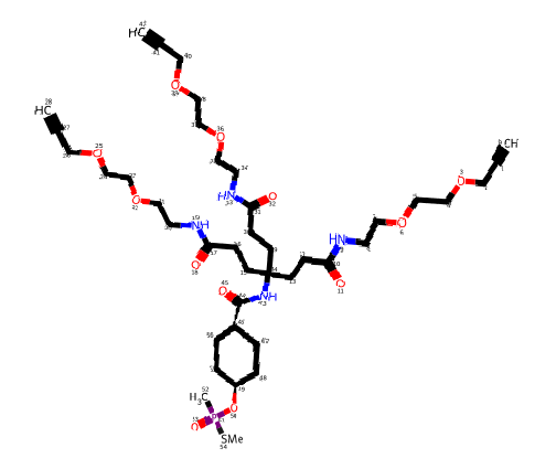 C#CCOCCOCCNC(=O)CCC(CCC(=O)NCCOCCOCC#C)(CCC(=O)NCCOCCOCC#C)NC(=O)[C@H]1CC[C@@H](OP(C)(=O)SC)CC1